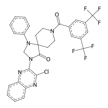 O=C(c1cc(C(F)(F)F)cc(C(F)(F)F)c1)N1CCC2(CC1)C(=O)N(c1nc3ccccc3nc1Cl)CN2c1ccccc1